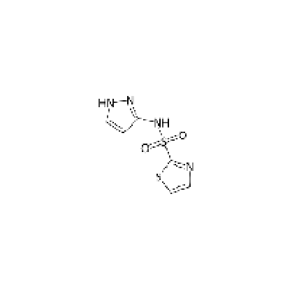 O=S(=O)(Nc1cc[nH]n1)c1nccs1